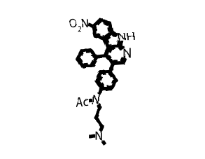 CC(=O)N(CCCN(C)C)c1ccc(-c2cnc3[nH]c4ccc([N+](=O)[O-])cc4c3c2-c2ccccc2)cc1